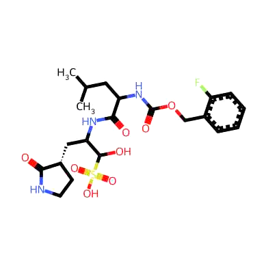 CC(C)CC(NC(=O)OCc1ccccc1F)C(=O)NC(C[C@@H]1CCNC1=O)C(O)S(=O)(=O)O